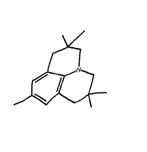 Cc1cc2c3c(c1)CC(C)(C)CN3CC(C)(C)C2